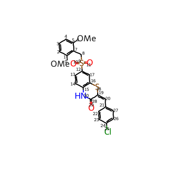 COc1cccc(OC)c1CS(=O)(=O)c1ccc2c(c1)SC(=Cc1ccc(Cl)cc1)C(=O)N2